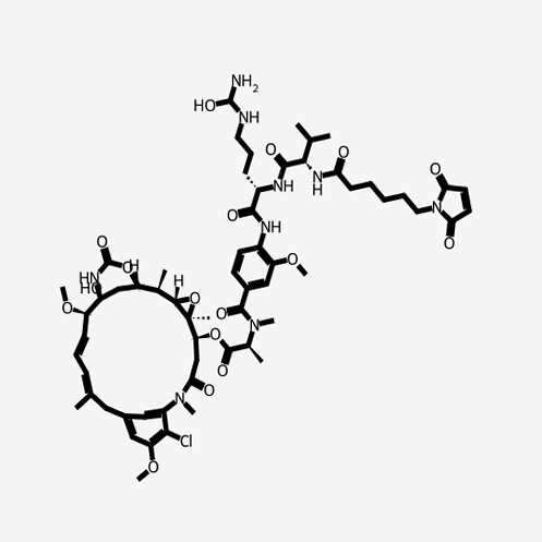 COc1cc(C(=O)N(C)[C@@H](C)C(=O)O[C@H]2CC(=O)N(C)c3cc(cc(OC)c3Cl)C/C(C)=C/C=C/[C@@H](OC)[C@@]3(O)C[C@H](OC(=O)N3)[C@@H](C)[C@@H]3O[C@@]23C)ccc1NC(=O)[C@H](CCCNC(N)O)NC(=O)[C@@H](NC(=O)CCCCCN1C(=O)C=CC1=O)C(C)C